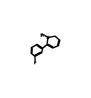 CC(C)N1CC=CC=C1c1cccc(F)c1